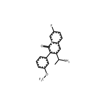 CC(N)c1cc2ccc(F)cn2c(=O)c1-c1cccc(OC(F)(F)F)c1